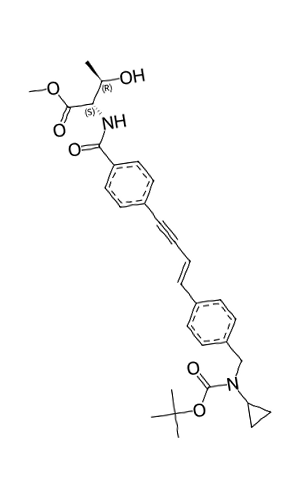 COC(=O)[C@@H](NC(=O)c1ccc(C#CC=Cc2ccc(CN(C(=O)OC(C)(C)C)C3CC3)cc2)cc1)[C@@H](C)O